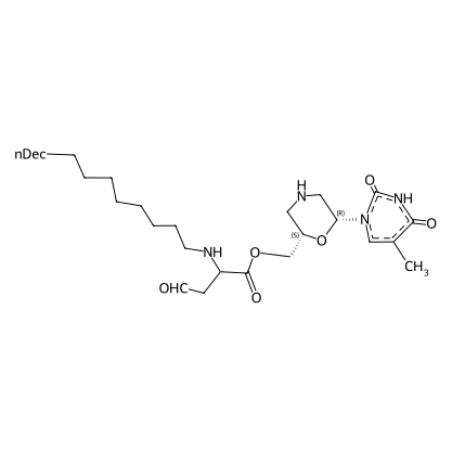 CCCCCCCCCCCCCCCCCCNC(CC=O)C(=O)OC[C@@H]1CNC[C@H](n2cc(C)c(=O)[nH]c2=O)O1